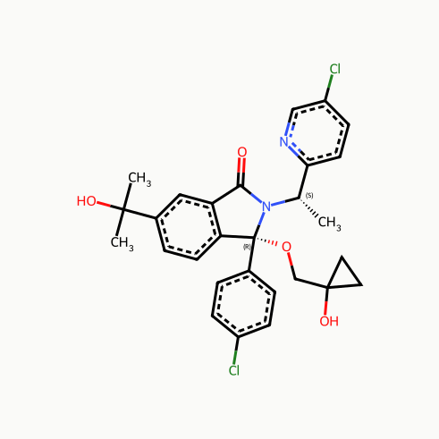 C[C@@H](c1ccc(Cl)cn1)N1C(=O)c2cc(C(C)(C)O)ccc2[C@]1(OCC1(O)CC1)c1ccc(Cl)cc1